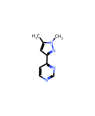 Cc1cc(-c2ccncn2)nn1C